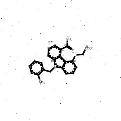 Cc1ccccc1Cn1c2cccc(OCC(=O)[O-])c2c2c(C(N)=O)cccc21.[Na+]